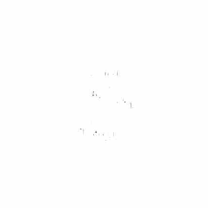 CCCCC(Oc1ccc(/C=C/C(=O)OCC)cc1OCC)c1cccc(-c2ccc(C(F)(F)F)cc2)n1